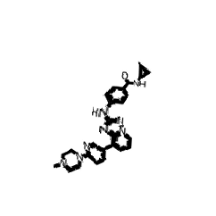 CN1CCN(c2ccc(-c3cccn4nc(Nc5ccc(C(=O)NC6CC6)cc5)nc34)cn2)CC1